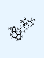 COC1CCCN(C(C2CCC(c3nncc4cnc5[nH]ccc5c34)CC2)[SH](=O)=O)C1